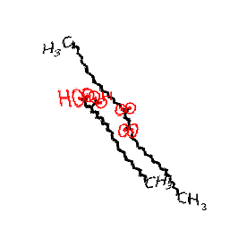 CCCCCCCCCCCCCCCCCCCCC(CC(=O)O)C(=O)O.CCCCCCCCCCCCCCCCCCOC(=O)CCC(=O)OCCCCCCCCCCCCCCCCCC